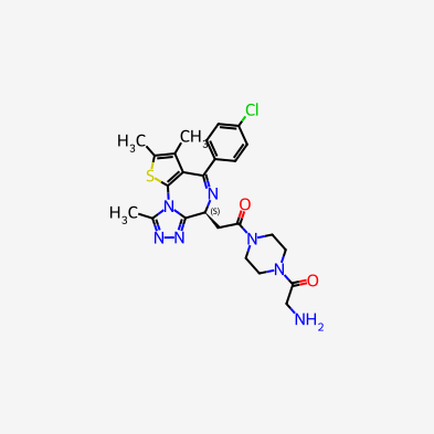 Cc1sc2c(c1C)C(c1ccc(Cl)cc1)=N[C@@H](CC(=O)N1CCN(C(=O)CN)CC1)c1nnc(C)n1-2